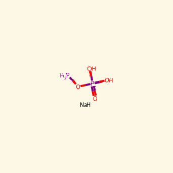 O=P(O)(O)OP.[NaH]